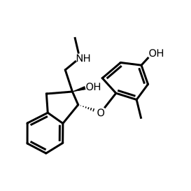 CNC[C@@]1(O)Cc2ccccc2[C@H]1Oc1ccc(O)cc1C